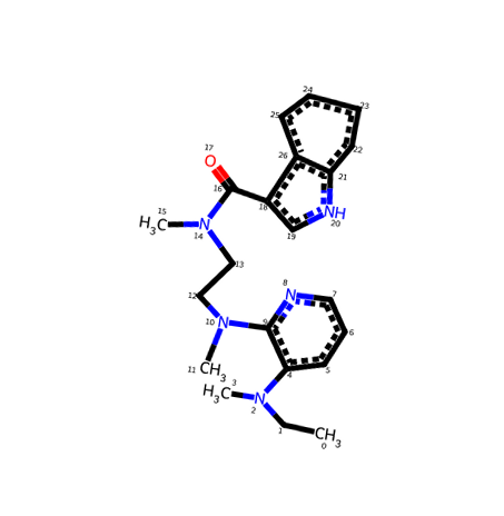 CCN(C)c1cccnc1N(C)CCN(C)C(=O)c1c[nH]c2ccccc12